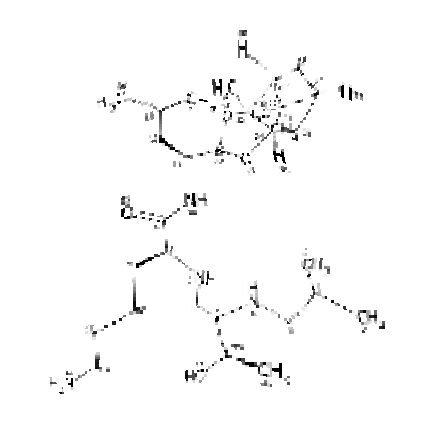 CC(C)CN[C@@H](CN[C@@H](CCCCN)C(=O)N[C@@H](CC(C)C)B1O[C@@H]2C[C@@H]3C[C@@H](C3(C)C)[C@]2(C)O1)[C@@H](C)O